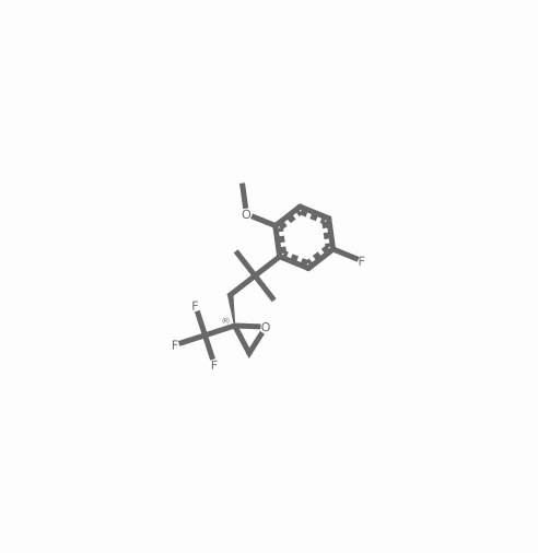 COc1ccc(F)cc1C(C)(C)C[C@]1(C(F)(F)F)CO1